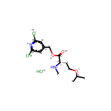 CN[C@@H](CCOC(C)C)C(=O)OCc1cc(Cl)nc(Cl)c1.Cl